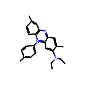 CCN(CC)c1cc2c(cc1C)nc1cc(C)ccc1[n+]2-c1ccc(C)cc1